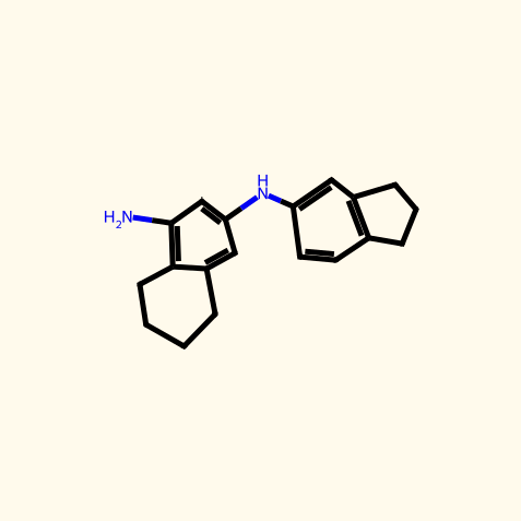 Nc1[c]c(Nc2ccc3c(c2)CCC3)cc2c1CCCC2